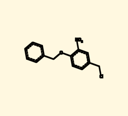 O=[N+]([O-])c1cc(CCl)ccc1OCc1ccccc1